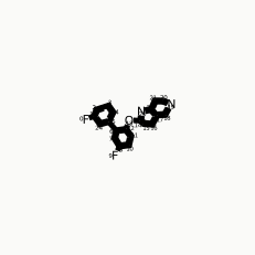 Fc1cccc(-c2cc(F)ccc2Oc2ccc3cnccc3n2)c1